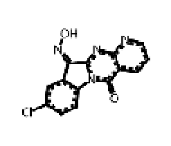 O=c1c2cccnc2nc2n1-c1ccc(Cl)cc1C2=NO